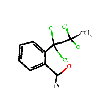 CC(C)C([O])c1ccccc1C(Cl)(Cl)C(Cl)(Cl)C(Cl)(Cl)Cl